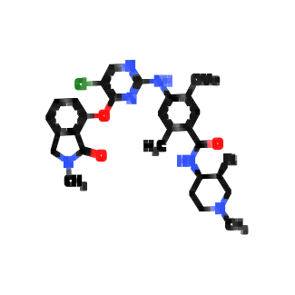 CC[C@H]1CN(C)CC[C@H]1NC(=O)c1cc(OC)c(Nc2ncc(Cl)c(Oc3cccc4c3C(=O)N(C)C4)n2)cc1C